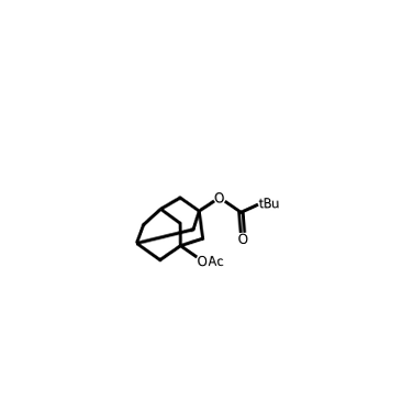 CC(=O)OC12CC3CC(C1)CC(OC(=O)C(C)(C)C)(C3)C2